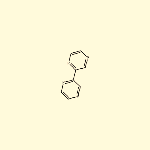 c1cpc(-c2cpccp2)cp1